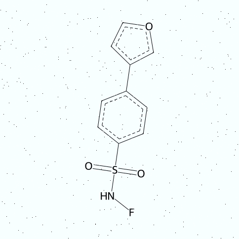 O=S(=O)(NF)c1ccc(-c2ccoc2)cc1